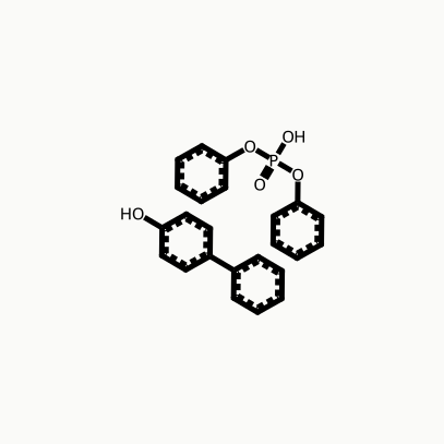 O=P(O)(Oc1ccccc1)Oc1ccccc1.Oc1ccc(-c2ccccc2)cc1